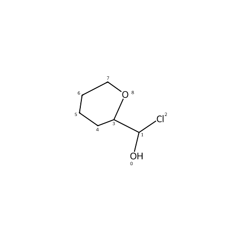 OC(Cl)C1CCCCO1